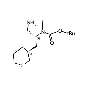 CN(C(=O)OC(C)(C)C)[C@@H](CN)C[C@@H]1CCCOC1